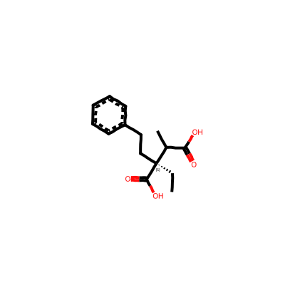 CC[C@@](CCc1ccccc1)(C(=O)O)C(C)C(=O)O